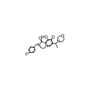 CC(c1cn2c(c(O)c1=O)C(=O)N(Cc1ccc(F)cc1)CC2)N1CCOCC1